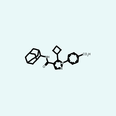 O=C(O)c1ccc(-n2ncc(C(=O)NC3C4CC5CC(C4)CC3C5)c2C2CCC2)cc1